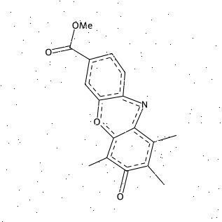 COC(=O)c1ccc2nc3c(C)c(C)c(=O)c(C)c-3oc2c1